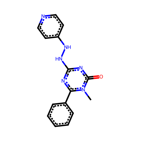 Cn1c(-c2ccccc2)nc(NNc2ccncc2)nc1=O